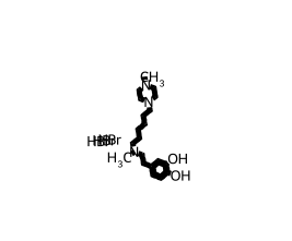 Br.Br.Br.CN(CCCCCCN1CCN(C)CC1)CCc1ccc(O)c(O)c1